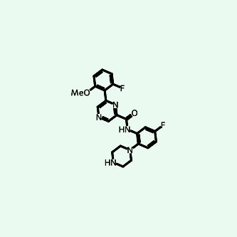 COc1cccc(F)c1-c1cncc(C(=O)Nc2cc(F)ccc2N2CCNCC2)n1